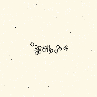 Cc1cc(-c2cccc(C(=O)OCc3ccccc3)c2)cc(C)c1OCCN[C@@H](C)[C@H](O)c1ccc(OCc2ccccc2)c(NS(C)(=O)=O)c1